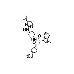 CN(C)c1ccnc(NC2CCC(NC(=O)C(CC(=O)c3ccc(C(C)(C)C)cc3)c3cn(C)c4ccccc34)CC2)n1